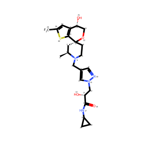 C[C@H]1C[C@@]2(CCN1Cc1cnn(C[C@@H](O)C(=O)NC3CC3)c1)OC[C@@H](O)c1cc(C(F)(F)F)sc12